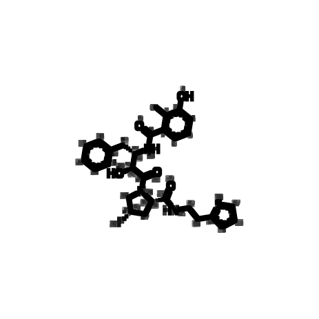 Cc1c(O)cccc1C(=O)N[C@@H](Cc1ccccc1)[C@H](O)C(=O)N1C[C@@H](F)C[C@H]1C(=O)NCCc1cccs1